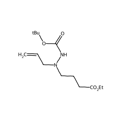 C=CCN(CCCC(=O)OCC)NC(=O)OC(C)(C)C